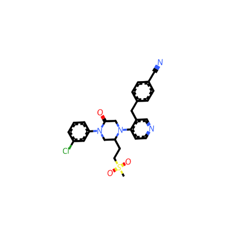 CS(=O)(=O)CCC1CN(c2cccc(Cl)c2)C(=O)CN1c1ccncc1Cc1ccc(C#N)cc1